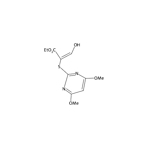 CCOC(=O)C(=CO)Sc1nc(OC)cc(OC)n1